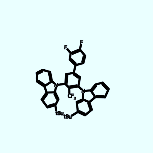 CC(C)(C)c1ccc2c3ccccc3n(-c3cc(-c4ccc(F)c(F)c4)cc(-n4c5ccccc5c5ccc(C(C)(C)C)cc54)c3C(F)(F)F)c2c1